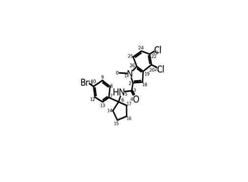 Cn1c(C(=O)NC2(c3ccc(Br)cc3)CCCC2)cc2c(Cl)c(Cl)ccc21